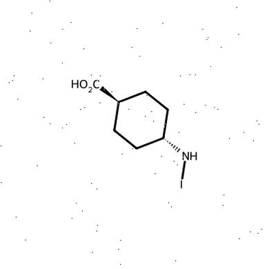 O=C(O)[C@H]1CC[C@H](NI)CC1